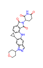 O=C1CCC(N2C(=O)c3cccc(Nc4cc5cnn(C6CCOCC6)c5cc4C4CC4)c3C2=O)C(=O)N1